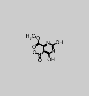 COC(=O)c1nc(O)nc(O)c1[N+](=O)[O-]